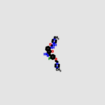 CN1CCN(CCOc2ccc(-c3n[nH]c4c3C(=O)c3c(NC(=O)NN5CCN(C)CC5)cccc3-4)c(F)c2)CC1